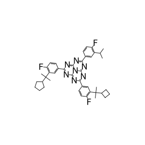 CC(C)c1cc(C2=NC3=NC(c4ccc(F)c(C(C)(C)C5CCCC5)c4)=NC4=NC(c5ccc(F)c(C(C)(C)C6CCC6)c5)=NC(=N2)N34)ccc1F